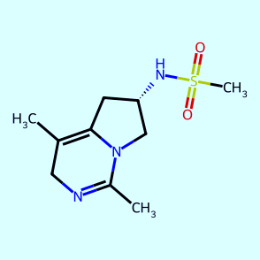 CC1=NCC(C)=C2C[C@H](NS(C)(=O)=O)CN12